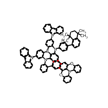 CC1(C)CCC(C)(C)c2c(-c3ccc(N4c5cc(-n6c7ccccc7c7ccccc76)ccc5B5c6ccc(-n7c8ccccc8c8ccccc87)cc6N(c6ccccc6-c6ccccc6)c6cc(-c7cc8c9c(c7)Oc7ccccc7B9c7ccccc7O8)cc4c65)cc3)cccc21